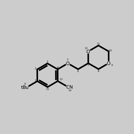 CC(C)(C)c1ccc(OCC2COCCO2)c(C#N)c1